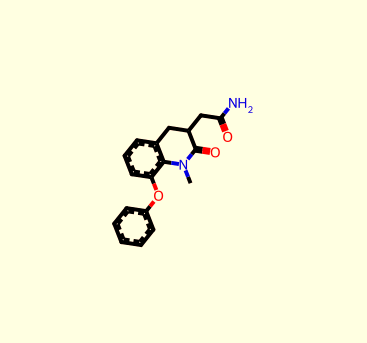 CN1C(=O)C(CC(N)=O)Cc2cccc(Oc3ccccc3)c21